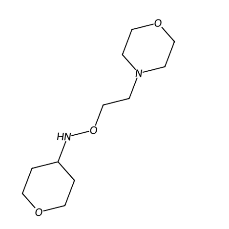 C1CC(NOCCN2CCOCC2)CCO1